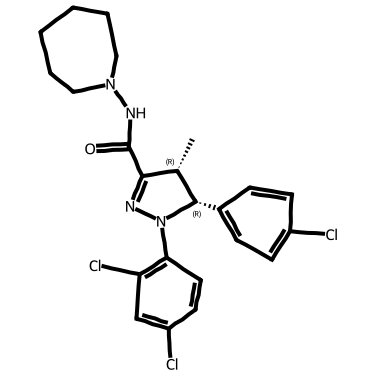 C[C@H]1C(C(=O)NN2CCCCCC2)=NN(c2ccc(Cl)cc2Cl)[C@H]1c1ccc(Cl)cc1